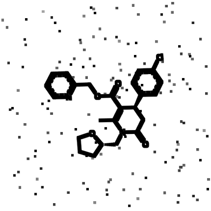 CC1=C(C(=O)OCc2ccccn2)[C@@H](c2ccc(Cl)cc2)CC(=O)N1C[C@@H]1CCCO1